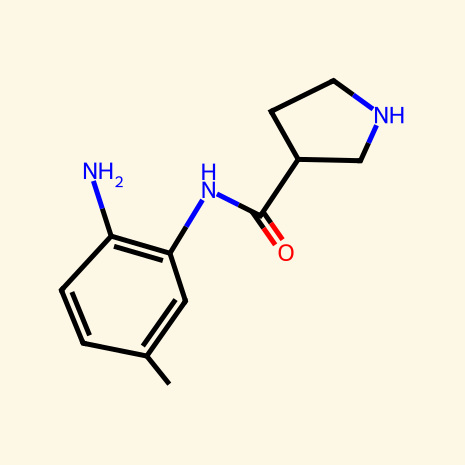 Cc1ccc(N)c(NC(=O)C2CCNC2)c1